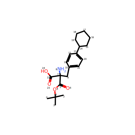 CC(C)(C)OC(=O)C(N)(Cc1ccc(C2CCCCC2)cc1)C(=O)O